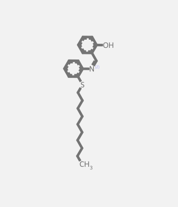 CCCCCCCCCCSc1ccccc1/N=C\c1ccccc1O